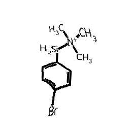 C[N+](C)(C)[SiH2]c1ccc(Br)cc1